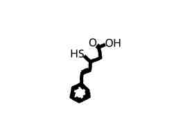 O=C(O)CC(S)C=Cc1ccccc1